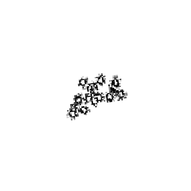 c1ccc(-c2cc(-c3ccccc3)nc(-n3c4cc(-c5cccc(-c6nc7ccccc7n6-c6ccccc6)c5)cc5c4c4c(cc(-c6cccc(-c7nc8ccccc8n7-c7ccccc7)c6)cc43)CC5)n2)cc1